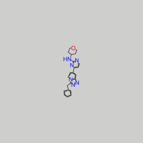 c1ccc(Cc2nnc3cc(-c4ccnc(NC5CCOCC5)n4)ccn23)cc1